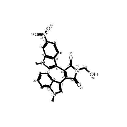 Cn1cc(C2=C(c3cn(C)c4cc([N+](=O)[O-])ccc34)C(=O)N(CO)C2=O)c2ccccc21